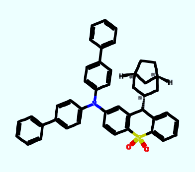 O=S1(=O)c2ccccc2C([C@@H]2C[C@@H]3CC[C@@H](C3)C2)c2cc(N(c3ccc(-c4ccccc4)cc3)c3ccc(-c4ccccc4)cc3)ccc21